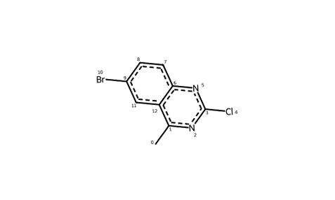 Cc1nc(Cl)nc2ccc(Br)cc12